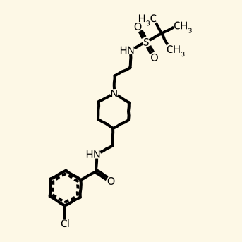 CC(C)(C)S(=O)(=O)NCCN1CCC(CNC(=O)c2cccc(Cl)c2)CC1